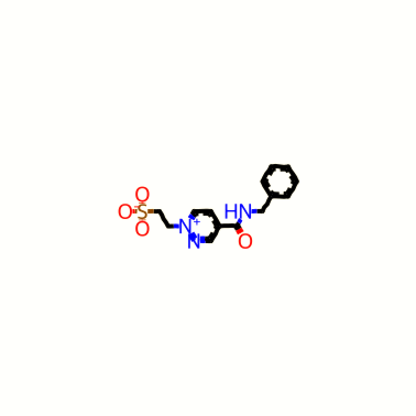 O=C(NCc1ccccc1)c1cc[n+](CCS(=O)(=O)[O-])nc1